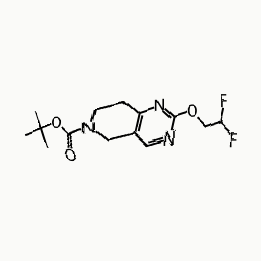 CC(C)(C)OC(=O)N1CCc2nc(OCC(F)F)ncc2C1